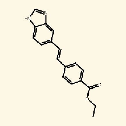 CCOC(=O)c1ccc(C=Cc2ccc3[nH]cnc3c2)cc1